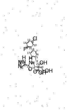 O=C(N[C@H](Cc1ccc(-c2cc(Cl)ccc2F)cc1)CC(CO)(CCO)C(=O)O)c1cnn[nH]1